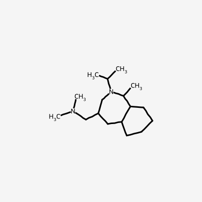 CC(C)N1CC(CN(C)C)CC2CCCCC2C1C